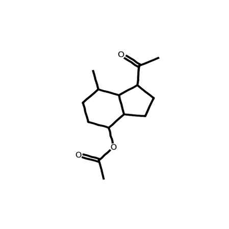 CC(=O)OC1CCC(C)C2C(C(C)=O)CCC12